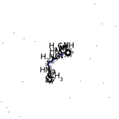 CN(N=N)C(=N)/C(=N\OC/C(N)=C/C=C\CNC(=O)CC1(C)SCCS1)c1ccccc1